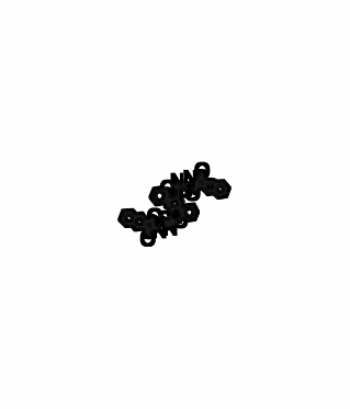 O=c1c(=Nc2nc3c(s2)-c2cc4c(cc2C2(CCCCC2)O3)-c2sc(N=c3c(=O)c5cc6ccccc6cc5c3=O)nc2OC42CCCCC2)c(=O)c2cc3ccccc3cc12